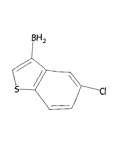 Bc1csc2ccc(Cl)cc12